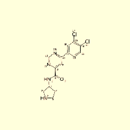 O=C(NC1CCNC1)c1cc(-c2ccc(Cl)c(Cl)c2)ncn1